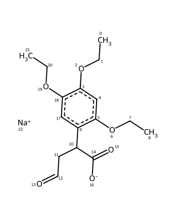 CCOc1cc(OCC)c(C(CC=O)C(=O)[O-])cc1OCC.[Na+]